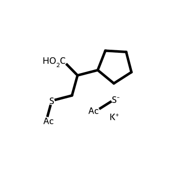 CC(=O)SCC(C(=O)O)C1CCCC1.CC(=O)[S-].[K+]